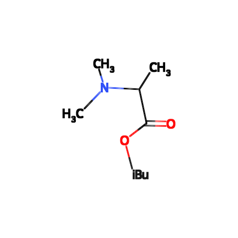 CCC(C)OC(=O)C(C)N(C)C